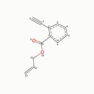 C#Cc1ccccc1C(=O)OCC=C